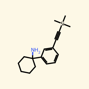 C[Si](C)(C)C#Cc1cccc(C2(N)CCCCC2)c1